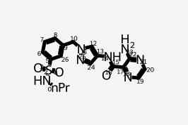 CCCNS(=O)(=O)c1cccc(Cn2cc(NC(=O)c3nccnc3N)cn2)c1